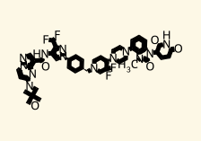 Cn1c(=O)n(C2CCC(=O)NC2=O)c2cccc(N3CCN([C@@H]4CCN(C[C@H]5CC[C@H](n6cc(NC(=O)c7cnn8ccc(N9CC%10(COC%10)C9)nc78)c(C(F)F)n6)CC5)CC4(F)F)CC3)c21